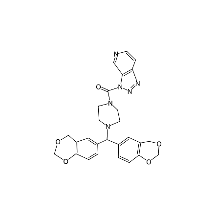 O=C(N1CCN(C(c2ccc3c(c2)COCO3)c2ccc3c(c2)COCO3)CC1)n1nnc2ccncc21